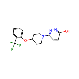 Oc1ccc(N2CCC(Oc3ccccc3C(F)(F)F)CC2)nn1